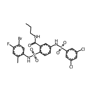 CCCNC(=O)c1cc(NS(=O)(=O)c2cc(Cl)cc(Cl)c2)ccc1S(=O)(=O)Nc1cc(Br)c(F)cc1C